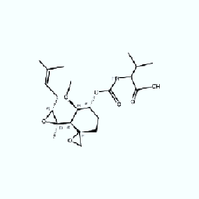 CO[C@H]1[C@H](OC(=O)NC(C(=O)O)C(C)C)CC[C@]2(CO2)[C@H]1[C@@]1(C)O[C@@H]1CC=C(C)C